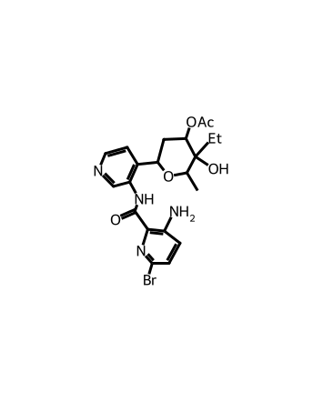 CCC1(O)C(C)OC(c2ccncc2NC(=O)c2nc(Br)ccc2N)CC1OC(C)=O